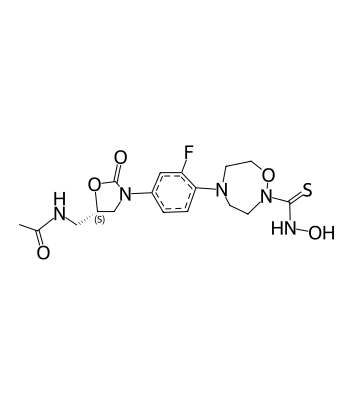 CC(=O)NC[C@H]1CN(c2ccc(N3CCON(C(=S)NO)CC3)c(F)c2)C(=O)O1